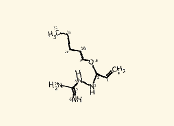 C=CC(NNC(=N)N)OCCCCC